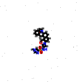 Cn1cnc(S(=O)(=O)NC2CN(c3ccc4c(c3C=O)[C@@H](Cc3ccccc3)[C@@H](N3CCC3)CC4)C2)c1